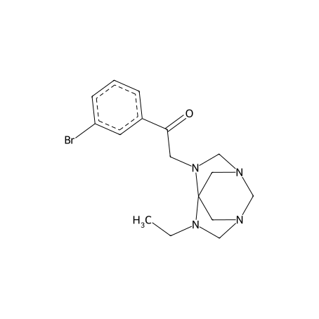 CCN1CN2CN3CN(CC(=O)c4cccc(Br)c4)C1(C2)C3